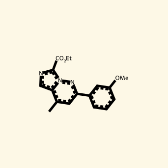 CCOC(=O)c1ncc2c(C)cc(-c3cccc(OC)c3)nn12